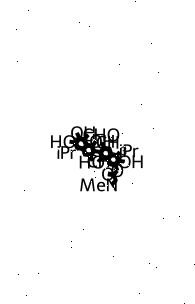 CNCC(=O)Oc1cc2c(O)c(-c3c(C)cc4c(C(C)C)c(O)c(O)c(C=O)c4c3O)c(C)cc2c(C(C)C)c1O